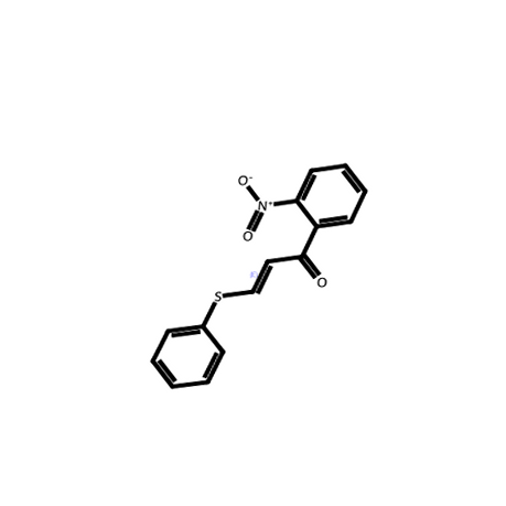 O=C(/C=C/Sc1ccccc1)c1ccccc1[N+](=O)[O-]